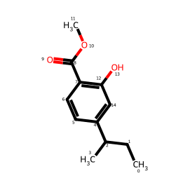 CCC(C)c1ccc(C(=O)OC)c(O)c1